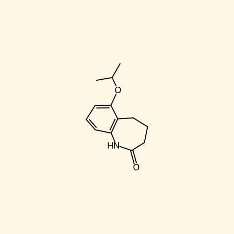 CC(C)Oc1cccc2c1CCCC(=O)N2